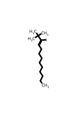 CCCCCCCCCC=C(I)C(C)(C)C